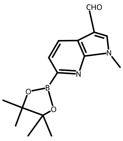 Cn1cc(C=O)c2ccc(B3OC(C)(C)C(C)(C)O3)nc21